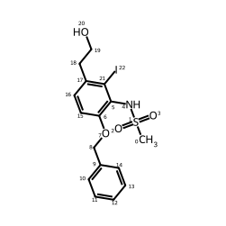 CS(=O)(=O)Nc1c(OCc2ccccc2)ccc(CCO)c1I